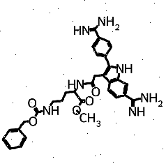 COC(=O)C(CCCNC(=O)OCc1ccccc1)NC(=O)Cc1c(-c2ccc(C(=N)N)cc2)[nH]c2cc(C(=N)N)ccc12